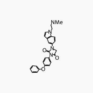 CNCCn1ccc2cc(N3CC(=O)N(c4ccc(Oc5ccccc5)cc4)C3=O)ccc21